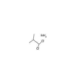 CC(C)C(Cl)Cl.[InH3]